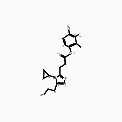 Cc1c(NC(=O)CCc2nnc(CCC(C)C)n2C2CC2)ccc(Cl)c1Cl